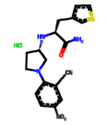 Cl.N#Cc1cc([N+](=O)[O-])ccc1N1CC[C@H](N[C@@H](Cc2ccsc2)C(N)=O)C1